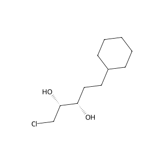 O[C@@H](CCl)[C@@H](O)CCC1CCCCC1